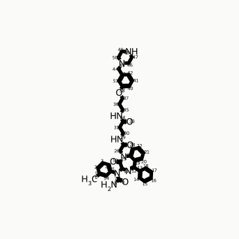 Cc1cccc(N(C(N)=O)C2N=C(c3ccccc3)c3ccccc3N(CC(=O)NCCC(=O)NCCCOc3cccc(CN4CCNCC4)c3)C2=O)c1